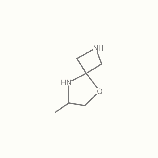 CC1COC2(CNC2)N1